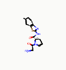 Cc1ccc2nc(NC(=O)[C@@H]3CCCN3C(=O)CN)sc2c1